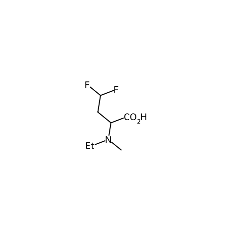 CCN(C)C(CC(F)F)C(=O)O